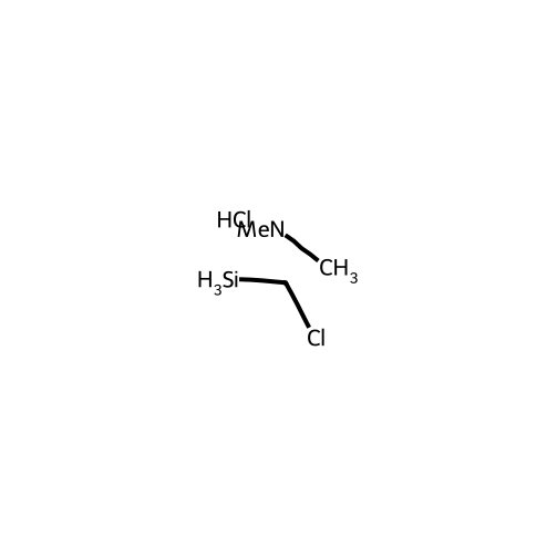 CNC.Cl.[SiH3]CCl